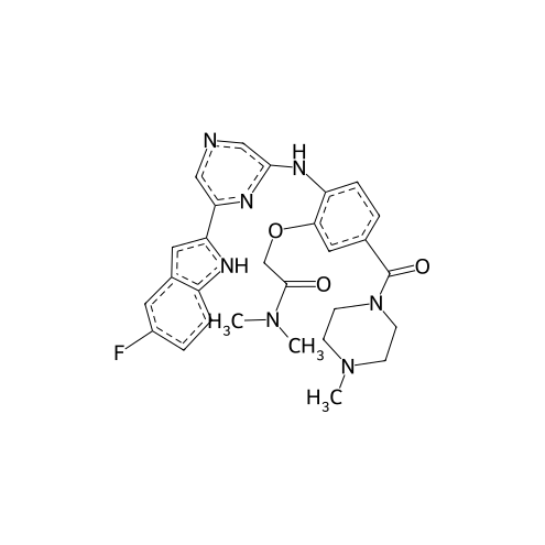 CN1CCN(C(=O)c2ccc(Nc3cncc(-c4cc5cc(F)ccc5[nH]4)n3)c(OCC(=O)N(C)C)c2)CC1